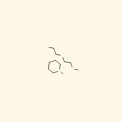 CCCCCN1CCCCC1.CCOCCOCCC(=O)O